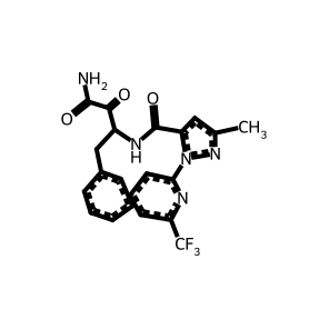 Cc1cc(C(=O)NC(Cc2ccccc2)C(=O)C(N)=O)n(-c2cccc(C(F)(F)F)n2)n1